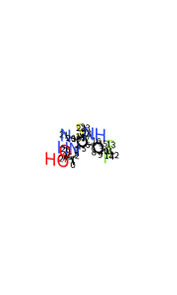 C=C(CNc1cc(-c2ccc(C(C)(F)F)cc2)c2c(c1C#N)SCN2)C(=O)O